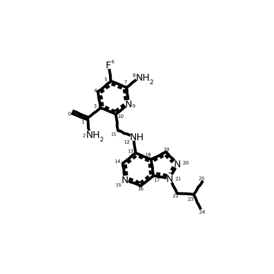 C=C(N)c1cc(F)c(N)nc1CNc1cncc2c1cnn2CC(C)C